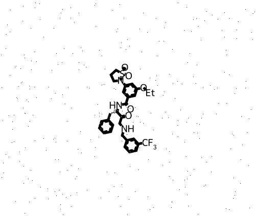 CCOc1cc(C(=O)N[C@@H](Cc2ccccc2)C(=O)CNCc2cccc(C(F)(F)F)c2)cc(N2CCCS2(=O)=O)c1